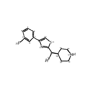 CC(C)C(c1nc(-c2cccc(F)c2)cs1)C1CCNCC1